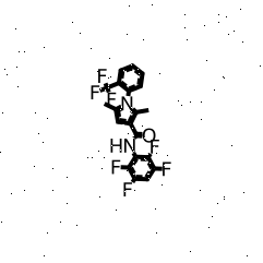 Cc1cc(C(=O)Nc2c(F)c(F)cc(F)c2F)c(C)n1-c1ccccc1C(F)(F)F